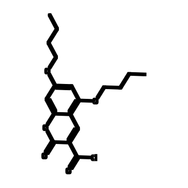 CCCCOc1cc(OCCCC)c2cc(C(=O)Cl)c(=O)oc2c1